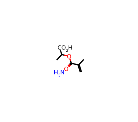 C=C(C)C(=O)OC(C)C(=O)O.N